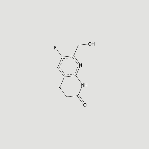 O=C1CSc2cc(F)c(CO)nc2N1